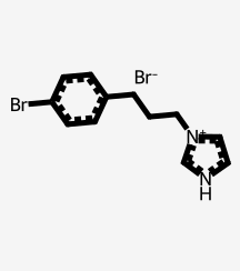 Brc1ccc(CCC[n+]2cc[nH]c2)cc1.[Br-]